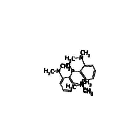 CN(C)c1cccc(N(C)C)c1P(Cl)c1c(N(C)C)cccc1N(C)C